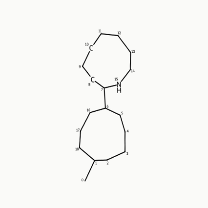 CC1CCCCC(C2CCCCCCCN2)CCC1